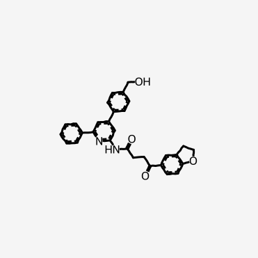 O=C(CCC(=O)c1ccc2c(c1)CCO2)Nc1cc(-c2ccc(CO)cc2)cc(-c2ccccc2)n1